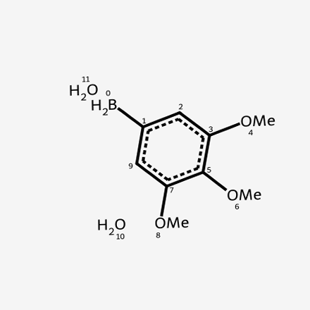 Bc1cc(OC)c(OC)c(OC)c1.O.O